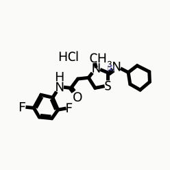 CN1/C(=N/C2CCCCC2)SCC1CC(=O)Nc1cc(F)ccc1F.Cl